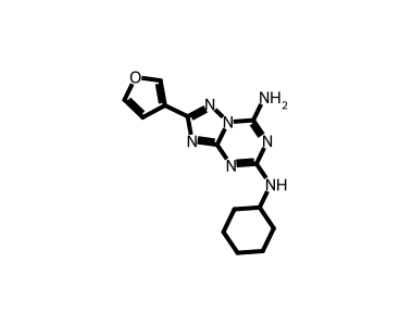 Nc1nc(NC2CCCCC2)nc2nc(-c3ccoc3)nn12